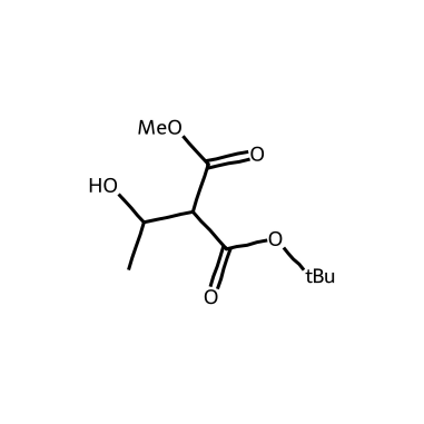 COC(=O)C(C(=O)OC(C)(C)C)C(C)O